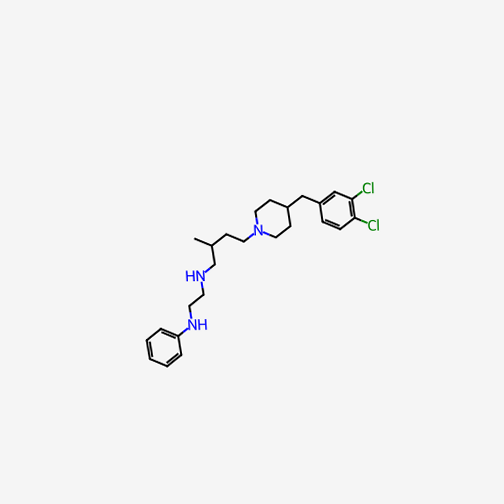 CC(CCN1CCC(Cc2ccc(Cl)c(Cl)c2)CC1)CNCCNc1ccccc1